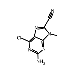 Cn1c(C#N)nc2c(Cl)nc(N)nc21